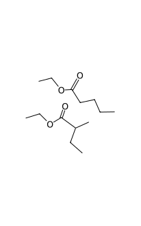 CCCCC(=O)OCC.CCOC(=O)C(C)CC